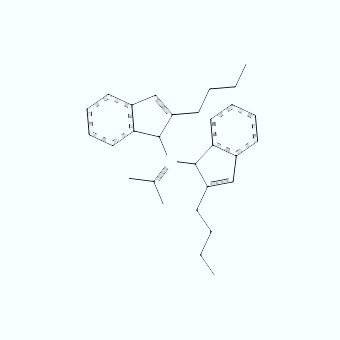 CCCCC1=Cc2ccccc2[CH]1[Ti+2](=[C](C)C)[CH]1C(CCCC)=Cc2ccccc21.[Cl-].[Cl-]